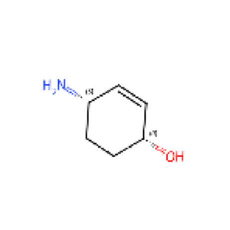 N[C@@H]1C=C[C@H](O)CC1